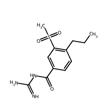 CCCc1ccc(C(=O)NC(=N)N)cc1S(C)(=O)=O